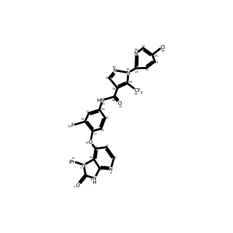 CC(C)n1c(=O)[nH]c2nccc(Oc3ccc(NC(=O)c4cnn(-c5ccc(Cl)cn5)c4C(F)(F)F)cc3F)c21